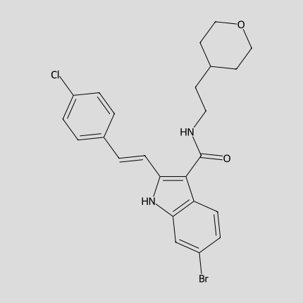 O=C(NCCC1CCOCC1)c1c(C=Cc2ccc(Cl)cc2)[nH]c2cc(Br)ccc12